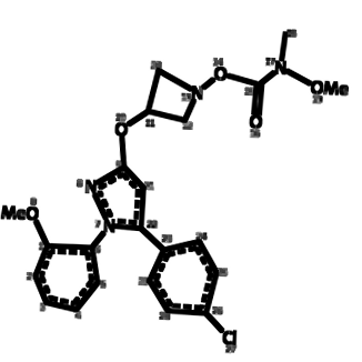 COc1ccccc1-n1nc(OC2CN(OC(=O)N(C)OC)C2)cc1-c1ccc(Cl)cc1